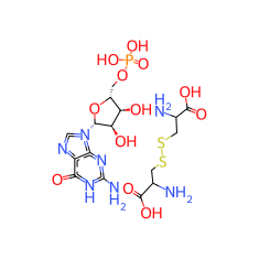 NC(CSSCC(N)C(=O)O)C(=O)O.Nc1nc2c(ncn2[C@@H]2O[C@H](COP(=O)(O)O)[C@@H](O)[C@H]2O)c(=O)[nH]1